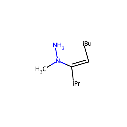 CCC(C)/C=C(/C(C)C)N(C)N